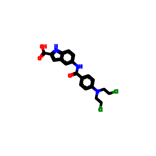 O=C(Nc1ccc2[nH]c(C(=O)O)cc2c1)c1ccc(N(CCCl)CCCl)cc1